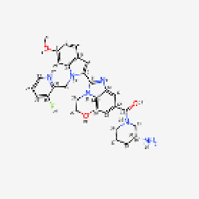 COc1ccc2cc(-c3nc4cc(C(=O)N5CCC[C@@H](N)C5)cc5c4n3CCO5)n(Cc3ncccc3F)c2c1